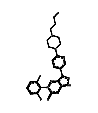 CCCCN1CCN(c2ccc(-c3n[nH]c4cc(=O)n(-c5c(C)cccc5F)nc34)cn2)CC1